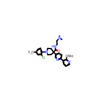 COc1ncccc1-c1ccc(C2(C(=O)NCCN(C)C)CCN(c3ccc(C(F)(F)F)cc3Cl)CC2)cn1